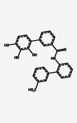 O=C(O)c1cccc(-c2ccccc2NC(=O)c2cccc(-c3ccc(O)c(O)c3O)c2)c1